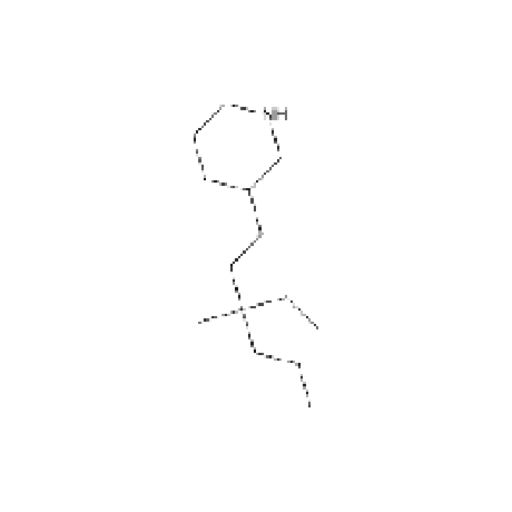 CCCC(C)(CC)CCC1CCCNC1